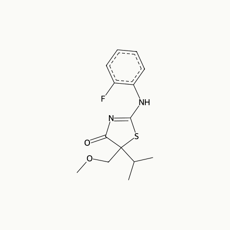 COCC1(C(C)C)SC(Nc2ccccc2F)=NC1=O